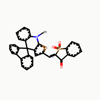 CC(C)N1c2ccccc2C2(c3ccccc3-c3ccccc32)c2cc(/C=C3/C(=O)c4ccccc4S3(=O)=O)sc21